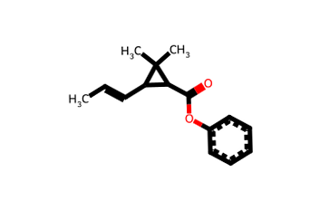 CC=CC1C(C(=O)Oc2ccccc2)C1(C)C